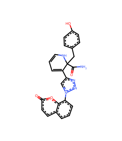 NC(=O)C1(Cc2ccc(O)cc2)NC=CC=C1c1cn(-c2cccc3ccc(=O)oc23)nn1